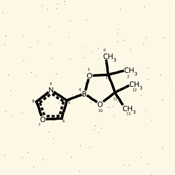 CC1(C)OB(c2cocn2)OC1(C)C